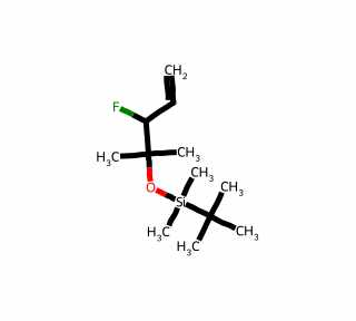 C=CC(F)C(C)(C)O[Si](C)(C)C(C)(C)C